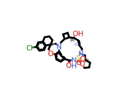 O=C1NS(=O)(=O)N(C[C@H]2CCCO2)C/C=C/[C@H](O)C2CCC2CN2C[C@@]3(CCCc4cc(Cl)ccc43)COc3ccc1cc32